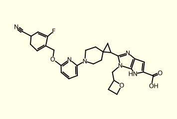 N#CC1C=C(F)C(COc2cccc(N3CCC4(CC3)CC4c3nc4cc(C(=O)O)[nH]c4n3CC3CCO3)n2)=CC1